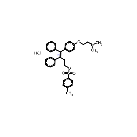 Cc1ccc(S(=O)(=O)OCC/C(=C(/c2ccccc2)c2ccc(OCCN(C)C)cc2)c2ccccc2)cc1.Cl